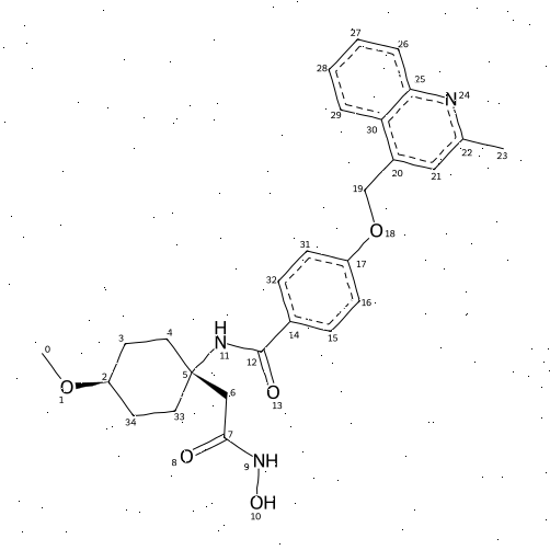 CO[C@H]1CC[C@](CC(=O)NO)(NC(=O)c2ccc(OCc3cc(C)nc4ccccc34)cc2)CC1